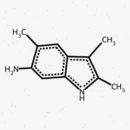 Cc1cc2c(C)c(C)[nH]c2cc1N